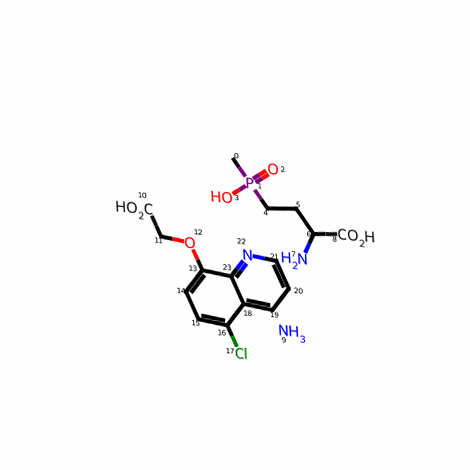 CP(=O)(O)CCC(N)C(=O)O.N.O=C(O)COc1ccc(Cl)c2cccnc12